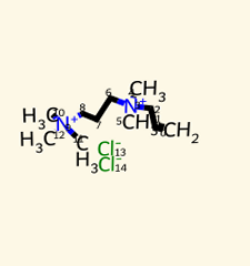 C=CC[N+](C)(C)CCC[N+](C)(C)C.[Cl-].[Cl-]